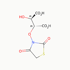 O=C(O)[C@H](O)[C@@H](ON1C(=O)CSC1=O)C(=O)O